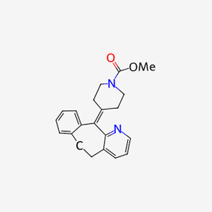 COC(=O)N1CCC(=C2c3ccccc3CCc3cccnc32)CC1